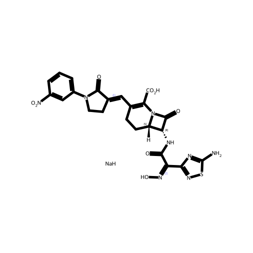 Nc1nc(/C(=N/O)C(=O)N[C@H]2C(=O)N3C(C(=O)O)=C(/C=C4\CCN(c5cccc([N+](=O)[O-])c5)C4=O)CC[C@@H]23)ns1.[NaH]